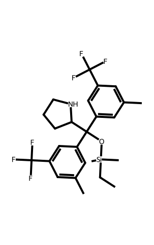 CC[Si](C)(C)OC(c1cc(C)cc(C(F)(F)F)c1)(c1cc(C)cc(C(F)(F)F)c1)C1CCCN1